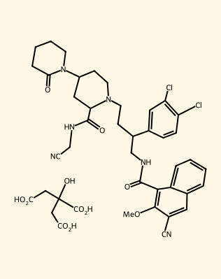 COc1c(C#N)cc2ccccc2c1C(=O)NCC(CCN1CCC(N2CCCCC2=O)CC1C(=O)NCC#N)c1ccc(Cl)c(Cl)c1.O=C(O)CC(O)(CC(=O)O)C(=O)O